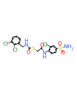 NS(=O)(=O)c1ccc(NC(=O)CSC(=O)NCc2cccc(Cl)c2Cl)c(Cl)c1